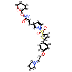 O=C(C=Cc1ccn(S(=O)(=O)c2ccc(-c3ccc(OCCN4CCCC4)cc3)s2)c1)NOC1CCCCO1